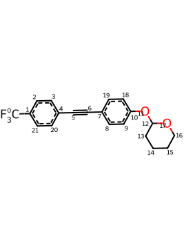 FC(F)(F)c1ccc(C#Cc2ccc(OC3CCCCO3)cc2)cc1